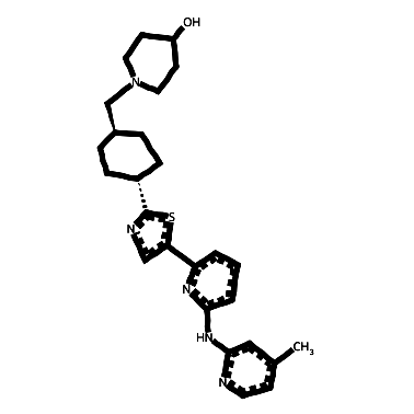 Cc1ccnc(Nc2cccc(-c3cnc([C@H]4CC[C@H](CN5CCC(O)CC5)CC4)s3)n2)c1